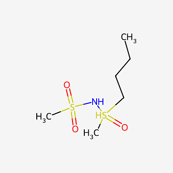 CCCC[SH](C)(=O)NS(C)(=O)=O